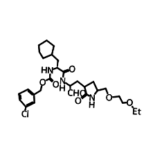 CCOCCOCC1CC(C[C@@H](C=O)NC(=O)[C@H](CC2CCCCC2)NC(=O)OCc2cccc(Cl)c2)C(=O)N1